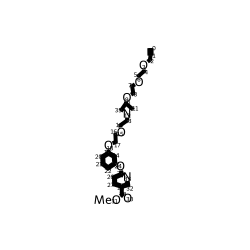 C#CCOCCOCCOC1CN(CCOCCOc2cccc(Oc3ccc(C(=O)OC)cn3)c2)C1